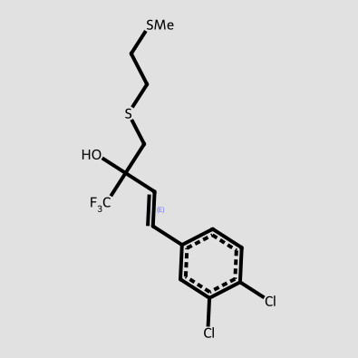 CSCCSCC(O)(/C=C/c1ccc(Cl)c(Cl)c1)C(F)(F)F